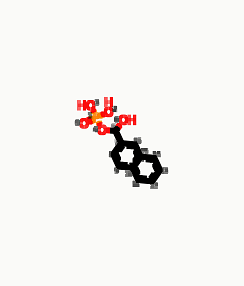 O=P(O)(O)OC(O)c1ccc2ccccc2c1